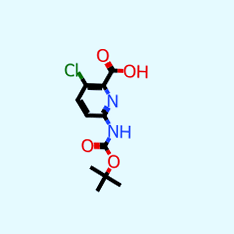 CC(C)(C)OC(=O)Nc1ccc(Cl)c(C(=O)O)n1